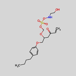 C=CC(=O)CC(COc1ccc(CCCC)cc1)OCOS(=O)(=O)ONCCO